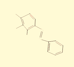 Oc1ccc(N=Nc2ccccc2)c(Cl)c1F